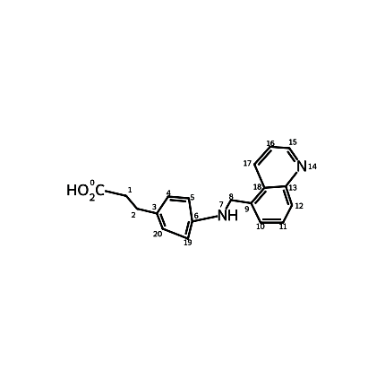 O=C(O)CCc1ccc(NCc2cccc3ncccc23)cc1